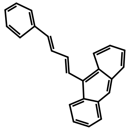 C(/C=C/c1c2ccccc2cc2ccccc12)=C\c1ccccc1